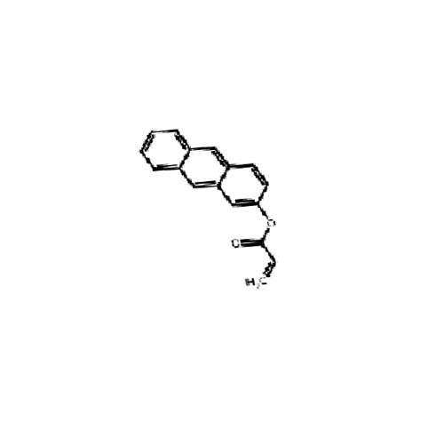 C=CC(=O)Oc1ccc2cc3ccccc3cc2c1